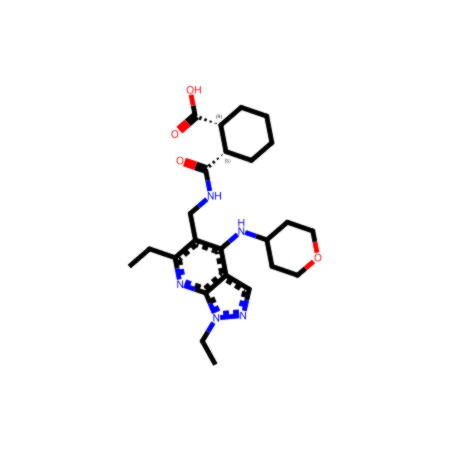 CCc1nc2c(cnn2CC)c(NC2CCOCC2)c1CNC(=O)[C@H]1CCCC[C@H]1C(=O)O